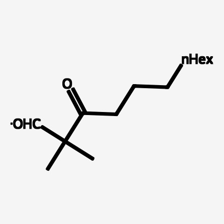 CCCCCCCCCC(=O)C(C)(C)[C]=O